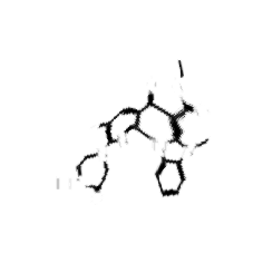 CCOC(=O)c1c(=O)c2cc(F)c(N3CCNC(=O)C3)nc2n2c3ccccc3n(C)c12